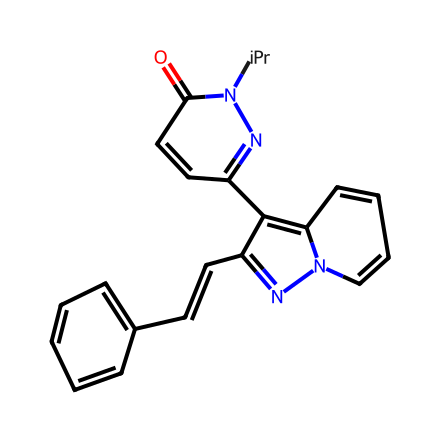 CC(C)n1nc(-c2c(/C=C/c3ccccc3)nn3ccccc23)ccc1=O